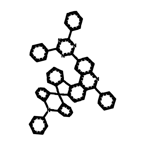 c1ccc(-c2nc(-c3ccccc3)nc(-c3ccc4nc(-c5ccccc5)c5ccc6c(c5c4c3)-c3ccccc3C63c4ccccc4N(c4ccccc4)c4ccccc43)n2)cc1